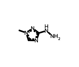 Cn1cnc(NN)n1